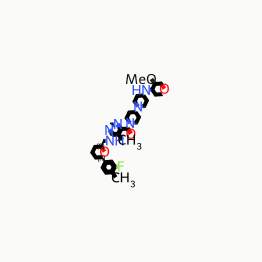 COC1COCCC1NC1CCN(C2CCN(C(=O)c3ncnc(NC[C@@H]4CCC[C@H](c5ccc(C)c(F)c5)O4)c3C)CC2)CC1